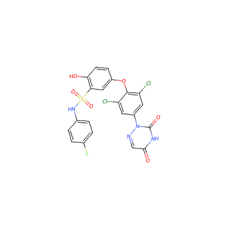 O=c1cnn(-c2cc(Cl)c(Oc3ccc(O)c(S(=O)(=O)Nc4ccc(F)cc4)c3)c(Cl)c2)c(=O)[nH]1